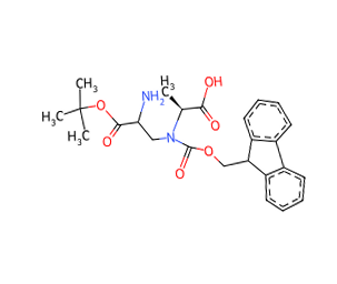 C[C@@H](C(=O)O)N(CC(N)C(=O)OC(C)(C)C)C(=O)OCC1c2ccccc2-c2ccccc21